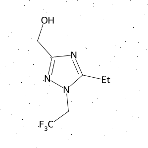 CCc1nc(CO)nn1CC(F)(F)F